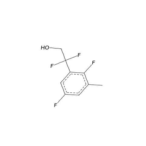 Cc1cc(F)cc(C(F)(F)CO)c1F